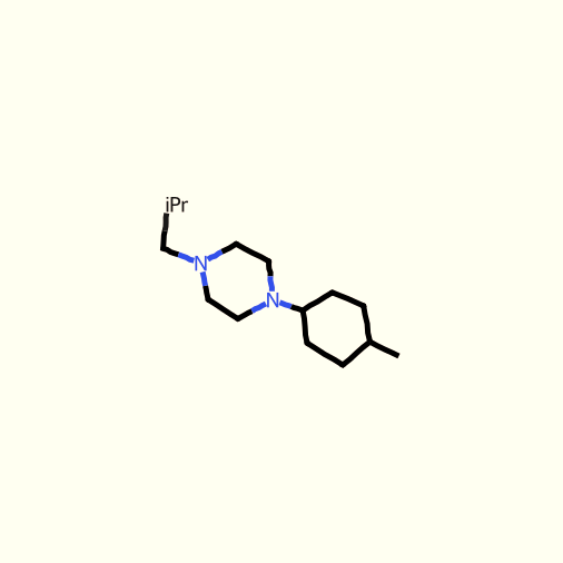 CC(C)CN1CCN(C2CCC(C)CC2)CC1